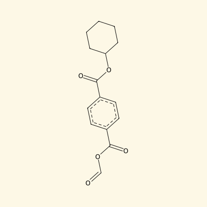 O=COC(=O)c1ccc(C(=O)OC2CCCCC2)cc1